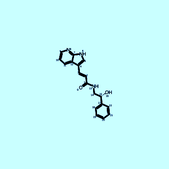 O=C(/C=C/c1c[nH]c2ncccc12)NC[C@H](O)c1ccccc1